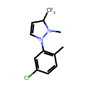 Cc1ccc(Cl)cc1N1C=CC(C(F)(F)F)N1C